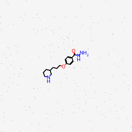 NNC(=O)c1ccc(OCCCC2CCCNC2)cc1